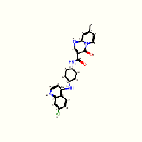 Cc1ccn2c(=O)c(C(=O)N[C@H]3CC[C@@H](Nc4ccnc5cc(Cl)ccc45)CC3)cnc2c1